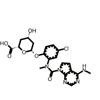 CNc1ncnc2c1ccn2C(=O)N(C)c1cc(Cl)ccc1O[C@H]1C[C@@H](O)C[C@@H](C(=O)O)O1